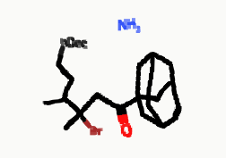 CCCCCCCCCCCCC(C)C(C)(Br)CC(=O)C12CC3CC(CC(C3)C1)C2.N